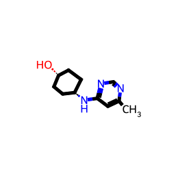 Cc1cc(N[C@H]2CC[C@@H](O)CC2)ncn1